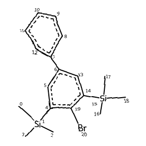 C[Si](C)(C)c1cc(-c2ccccc2)cc([Si](C)(C)C)c1Br